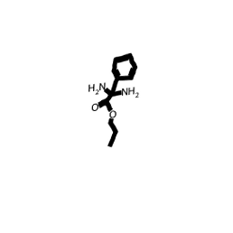 CCCOC(=O)C(N)(N)c1ccccc1